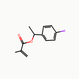 C=C(C)C(=O)OC(C)c1ccc(I)cc1